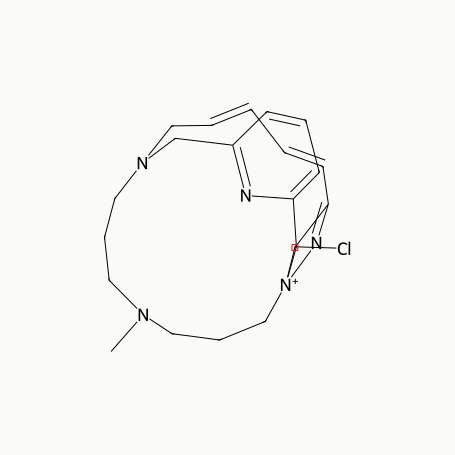 CN1CCCN2C/C=C/C=C/C3=N[N+](CCC1)(C3)C(Cl)c1cccc(n1)C2